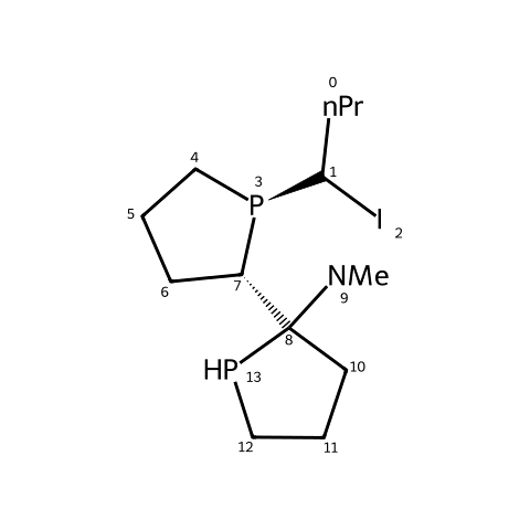 CCCC(I)[P@]1CCC[C@H]1C1(NC)CCCP1